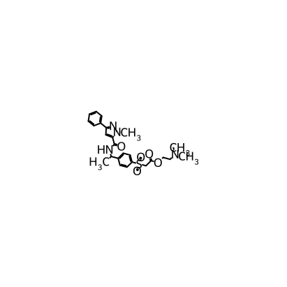 CC(NC(=O)c1cc(-c2ccccc2)nn1C)c1ccc(S(=O)(=O)CC(=O)OCCN(C)C)cc1